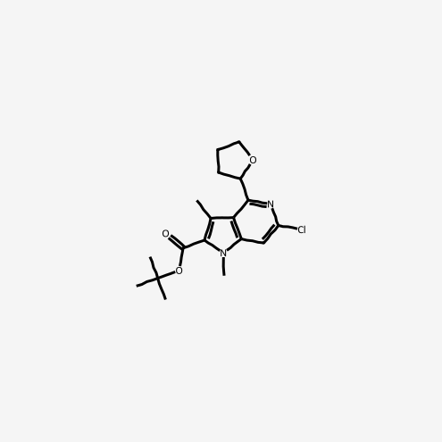 Cc1c(C(=O)OC(C)(C)C)n(C)c2cc(Cl)nc(C3CCCO3)c12